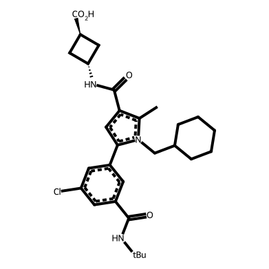 Cc1c(C(=O)N[C@H]2C[C@H](C(=O)O)C2)cc(-c2cc(Cl)cc(C(=O)NC(C)(C)C)c2)n1CC1CCCCC1